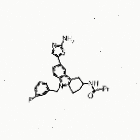 CC(C)C(=O)NC1CCc2c(c3cc(-c4cnc(N)s4)ccc3n2Cc2cccc(F)c2)C1